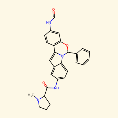 CN1CCCC1C(=O)Nc1ccc2c(c1)cc1n2C(c2ccccc2)Oc2cc(NC=O)ccc2-1